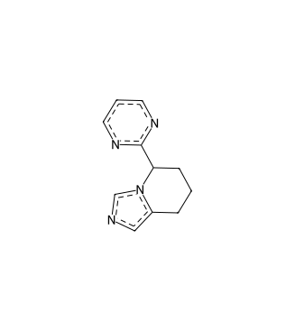 c1cnc(C2CCCc3cncn32)nc1